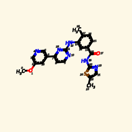 COc1cncc(-c2ccnc(Nc3cc(C(=O)Nc4ncc(C)s4)ccc3C)n2)c1